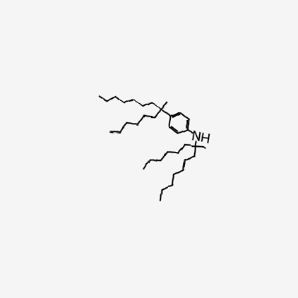 CCCCCCCC(C)(CCCCCC)Nc1ccc(C(C)(CCCCCC)CCCCCCC)cc1